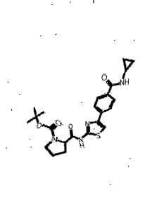 CC(C)(C)OC(=O)N1CCCC1C(=O)Nc1nc(-c2ccc(C(=O)NC3CC3)cc2)cs1